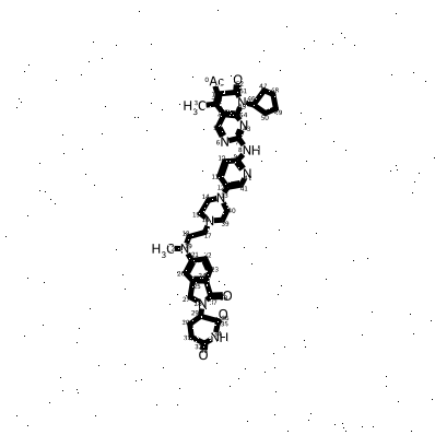 CC(=O)c1c(C)c2cnc(Nc3ccc(N4CCN(CCN(C)c5ccc6c(c5)CN(C5CCC(=O)NC5=O)C6=O)CC4)cn3)nc2n(C2CCCC2)c1=O